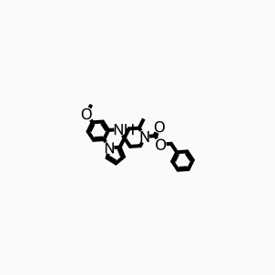 COc1ccc2c(c1)NC1(CCN(C(=O)OCc3ccccc3)C(C)C1)c1cccn1-2